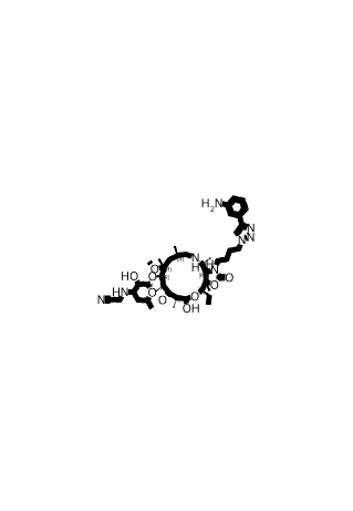 CC[C@H]1OC(O)[C@H](C)C(=O)[C@H](C)[C@@H](O[C@@H]2OC(C)CC(NCC#N)C2O)[C@](C)(OC)C[C@@H](C)CN[C@H](C)[C@H]2N(CCCCn3cc(-c4cccc(N)c4)nn3)C(=O)O[C@]12C